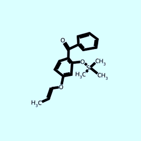 CC=COc1ccc(C(=O)c2ccccc2)c(O[Si](C)(C)C)c1